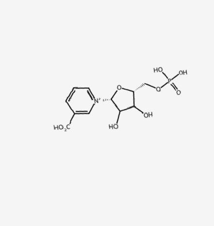 O=C(O)c1ccc[n+]([C@@H]2O[C@H](COP(=O)(O)O)C(O)C2O)c1